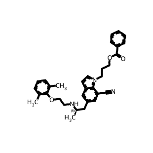 Cc1cccc(C)c1OCCN[C@H](C)Cc1cc(C#N)c2c(ccn2CCCOC(=O)c2ccccc2)c1